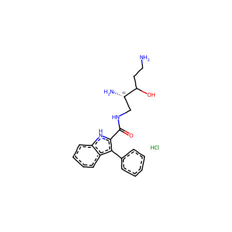 Cl.NCCC(O)[C@@H](N)CNC(=O)c1[nH]c2ccccc2c1-c1ccccc1